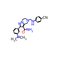 CN(C)c1cccc(-c2nn3c(c2C(N)=O)CN(CNc2ccc(C#N)cc2)CC3)c1